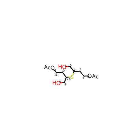 CC(=O)OCCC(CO)SC(CO)CCOC(C)=O